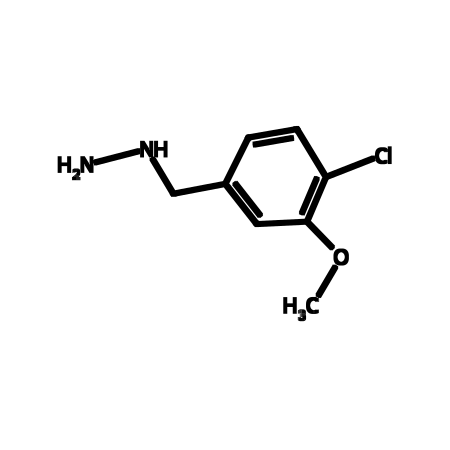 COc1cc(CNN)ccc1Cl